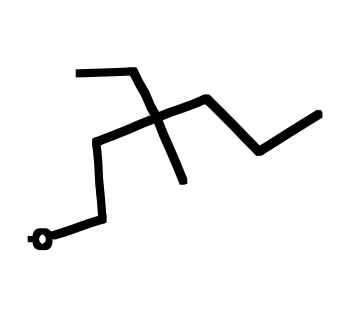 CCCC(C)(CC)CC[O]